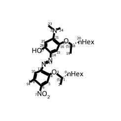 CCCCCC[C@H](C)Oc1cc([N+](=O)[O-])c(I)cc1N=Nc1cc(O[C@@H](C)CCCCCC)c(N(C)C)cc1O